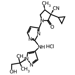 C[C@@H]1CN(c2ccnc(Nc3cnn(C(C)(C)CO)c3)n2)C(=O)[C@@]1(C#N)C1CC1.Cl